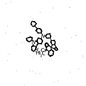 CC1(C)c2ccccc2C2(c3ccccc3-c3ccc(-c4cccc(N(c5ccc(-c6ccccc6)cc5)c5ccc6c7ccccc7n(-c7ccccc7)c6c5)c4)cc32)c2ccccc21